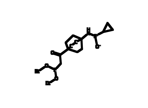 CCOP(CC(=O)C12CCC(N[S+]([O-])C3CC3)(CC1)CC2)OCC